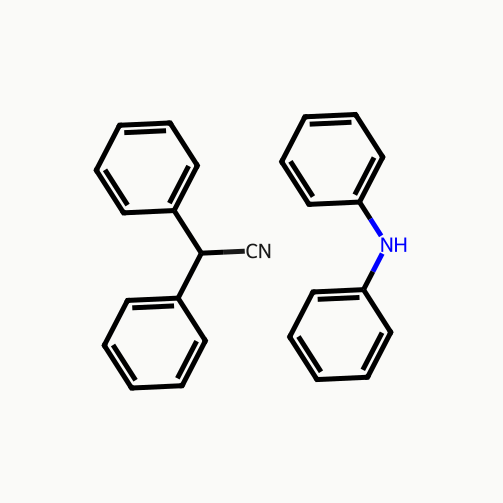 N#CC(c1ccccc1)c1ccccc1.c1ccc(Nc2ccccc2)cc1